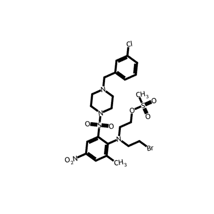 Cc1cc([N+](=O)[O-])cc(S(=O)(=O)N2CCN(Cc3cccc(Cl)c3)CC2)c1N(CCBr)CCOS(C)(=O)=O